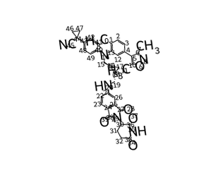 Cc1ccc(-c2c(C)noc2C)cc1N(C[C@H]1C[C@@H]1CNc1ccc2c(c1)C(=O)N(C1CCC(=O)NC1=O)C2=O)c1ccc(C2(C#N)CC2)cc1